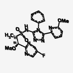 COc1cccc(-c2nnc(NS(=O)(=O)[C@@H](C)[C@H](OC)c3ncc(F)cn3)n2-c2ccccc2)n1